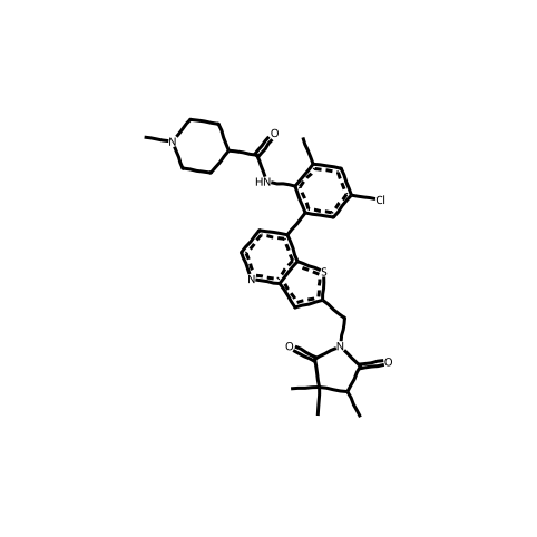 Cc1cc(Cl)cc(-c2ccnc3cc(CN4C(=O)C(C)C(C)(C)C4=O)sc23)c1NC(=O)C1CCN(C)CC1